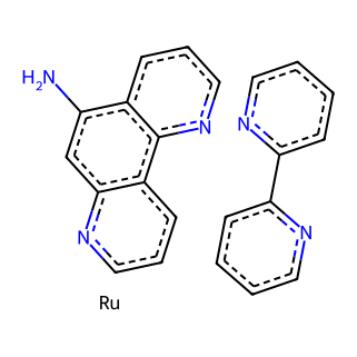 Nc1cc2ncccc2c2ncccc12.[Ru].c1ccc(-c2ccccn2)nc1